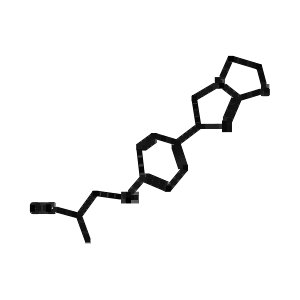 CC(C=O)CNc1ccc(C2CN3CCSC3=N2)cc1